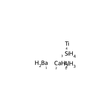 [AlH3].[BaH2].[CaH2].[SiH4].[Ti]